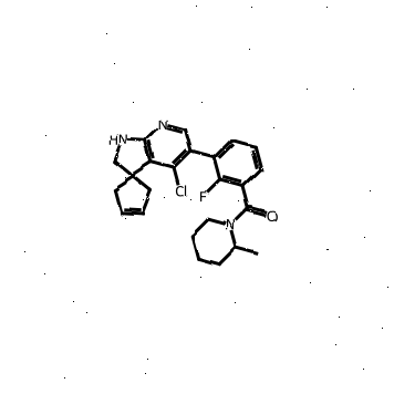 CC1CCCCN1C(=O)c1cccc(-c2cnc3c(c2Cl)C2(CC=CC2)CN3)c1F